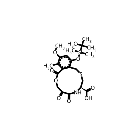 COc1cc(O[Si](C)(C)C(C)(C)C)c2c(c1C)C(=O)OCC(=O)C(=O)N[C@H](C(=O)O)CSC2